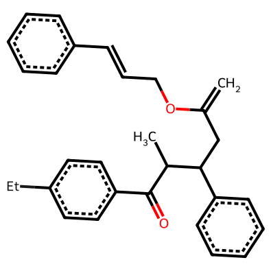 C=C(CC(c1ccccc1)C(C)C(=O)c1ccc(CC)cc1)OC/C=C/c1ccccc1